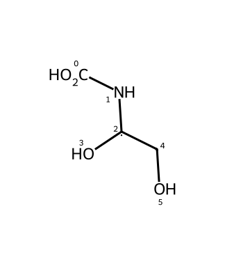 O=C(O)N[C](O)CO